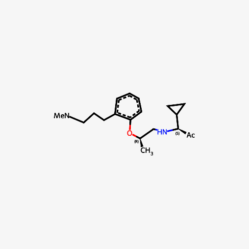 CNCCCc1ccccc1O[C@H](C)CN[C@H](C(C)=O)C1CC1